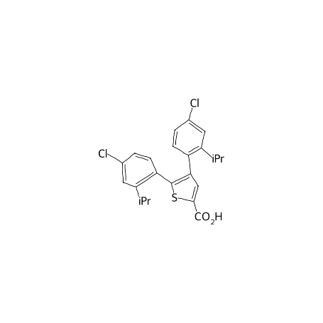 CC(C)c1cc(Cl)ccc1-c1cc(C(=O)O)sc1-c1ccc(Cl)cc1C(C)C